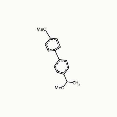 COc1ccc(-c2ccc(C(C)OC)cc2)cc1